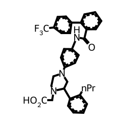 CCCc1ccccc1C1CN(c2ccc(NC(=O)c3ccccc3-c3ccc(C(F)(F)F)cc3)cc2)CCN1CC(=O)O